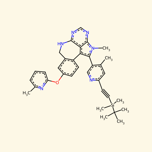 Cc1cccc(Oc2ccc3c(c2)CNc2ncnc4c2c-3c(-c2cnc(C#C[Si](C)(C)C(C)(C)C)cc2C)n4C)n1